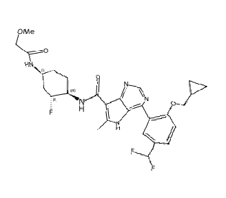 COCC(=O)N[C@H]1CC[C@@H](NC(=O)c2c(C)[nH]c3c(-c4cc(C(F)F)ccc4OCC4CC4)ncnc23)[C@H](F)C1